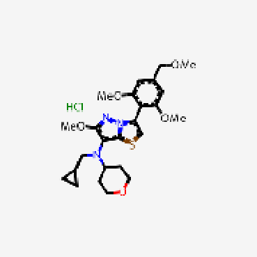 COCc1cc(OC)c(-c2csc3c(N(CC4CC4)C4CCOCC4)c(OC)nn23)c(OC)c1.Cl